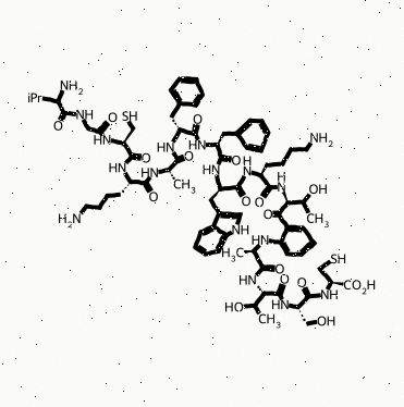 CC(C)C(N)C(=O)NCC(=O)N[C@@H](CS)C(=O)N[C@@H](CCCCN)C(=O)N[C@@H](C)C(=O)N[C@H](Cc1ccccc1)C(=O)N[C@@H](Cc1ccccc1)C(=O)N[C@H](Cc1c[nH]c2ccccc12)C(=O)N[C@@H](CCCCN)C(=O)N[C@H](C(=O)c1ccccc1N[C@H](C)C(=O)N[C@H](C(=O)N[C@@H](CO)C(=O)N[C@@H](CS)C(=O)O)C(C)O)C(C)O